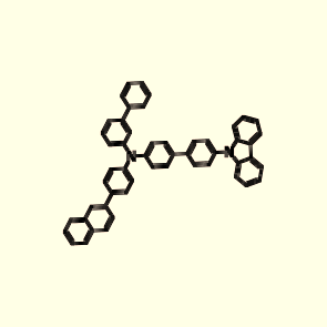 c1ccc(-c2cccc(N(c3ccc(-c4ccc(-n5c6ccccc6c6ccccc65)cc4)cc3)c3ccc(-c4ccc5ccccc5c4)cc3)c2)cc1